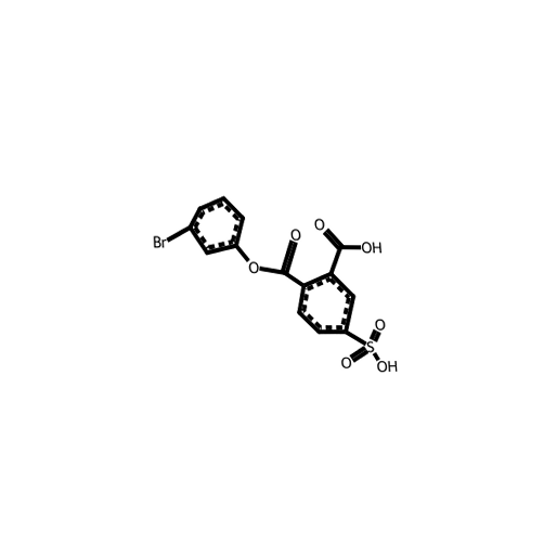 O=C(O)c1cc(S(=O)(=O)O)ccc1C(=O)Oc1cccc(Br)c1